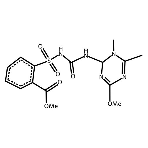 COC(=O)c1ccccc1S(=O)(=O)NC(=O)NC1N=C(OC)N=C(C)N1C